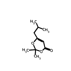 CC(C)CC1=CC(=O)OC(C)(C)O1